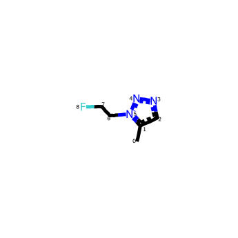 Cc1cnnn1CCF